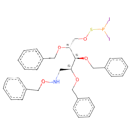 IP(I)SOC[C@@H](OCc1ccccc1)[C@@H](OCc1ccccc1)[C@H](CNOCc1ccccc1)OCc1ccccc1